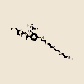 CC(=O)Nc1cc(NCCOCCOCCOCCN)ccc1C(=O)Nc1ncc(N)s1